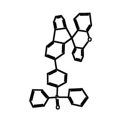 O=P(c1ccccc1)(c1ccccc1)c1ccc(-c2ccc3c(c2)C2(c4ccccc4Oc4ccccc42)c2ccccc2-3)cc1